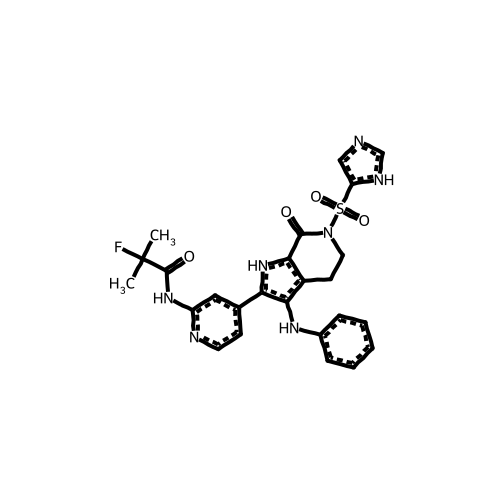 CC(C)(F)C(=O)Nc1cc(-c2[nH]c3c(c2Nc2ccccc2)CCN(S(=O)(=O)c2cnc[nH]2)C3=O)ccn1